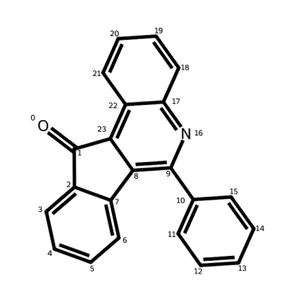 O=C1c2ccccc2-c2c(-c3ccccc3)nc3ccccc3c21